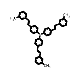 Cc1cccc(/C=C/c2ccc(N(c3ccc(/C=C/c4cccc(C)c4)cc3)c3ccc(/C=C/c4cccc(C)c4)cc3)cc2)c1